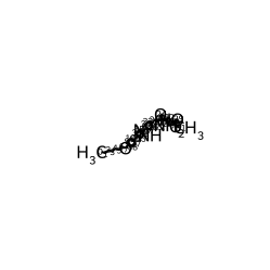 CCCCCCCOc1ccc(C2=CNC(c3ccc(C[C@H](N)C(=O)N4CC(C(=O)OC)C4)cc3)N=C2)cc1